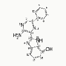 Nc1ncc(-c2ccccc2)nc1-c1nc2cccc(O)c2[nH]1